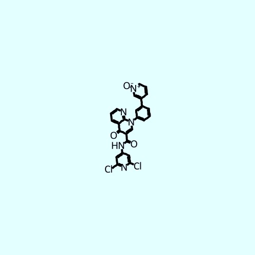 O=C(Nc1cc(Cl)nc(Cl)c1)c1cn(-c2cccc(-c3ccc[n+]([O-])c3)c2)c2ncccc2c1=O